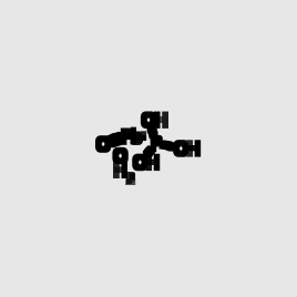 O.OP(O)O.[O]=[Pb]